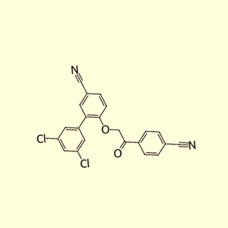 N#Cc1ccc(C(=O)COc2ccc(C#N)cc2-c2cc(Cl)cc(Cl)c2)cc1